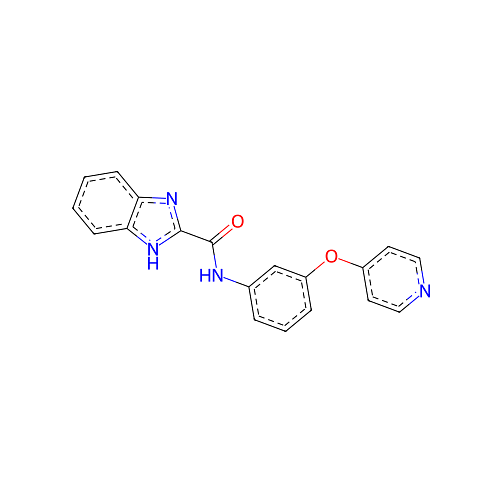 O=C(Nc1cccc(Oc2ccncc2)c1)c1nc2ccccc2[nH]1